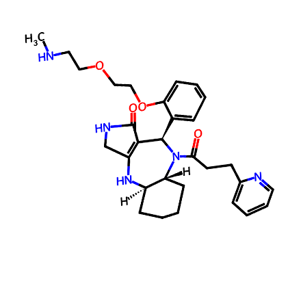 CNCCOCCOc1ccccc1[C@@H]1C2=C(CNC2=O)N[C@@H]2CCCC[C@H]2N1C(=O)CCc1ccccn1